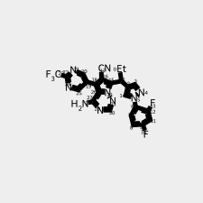 CCC(c1cnn(-c2ccc(F)cc2F)c1)c1c(C#N)c(-c2cnc(C(F)(F)F)nc2)c2c(N)ncnn12